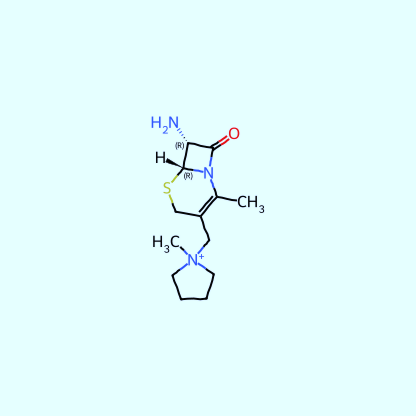 CC1=C(C[N+]2(C)CCCC2)CS[C@@H]2[C@H](N)C(=O)N12